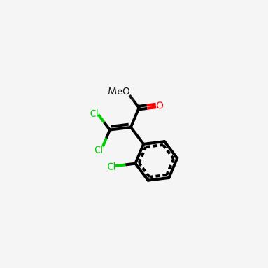 COC(=O)C(=C(Cl)Cl)c1ccccc1Cl